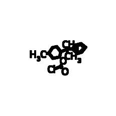 CC1CCC(C(C)(C)c2ccccc2)C(OC(=O)Cl)C1